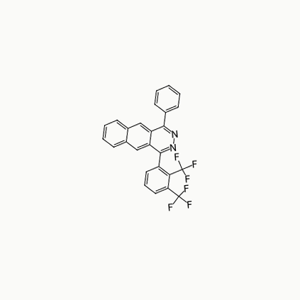 FC(F)(F)c1cccc(-c2nnc(-c3ccccc3)c3cc4ccccc4cc23)c1C(F)(F)F